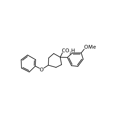 COc1cccc(C2(C(=O)O)CCC(Oc3ccccc3)CC2)c1